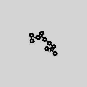 c1ccc(-n2c3cccc(-c4ccc(-c5ccc(-n6c7ccccc7c7cc(-n8c9ccccc9c9ccccc98)ccc76)cc5)cc4)c3c3c4ccccc4oc32)cc1